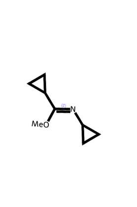 CO/C(=N\C1CC1)C1CC1